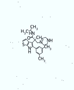 Cc1cc(C)cc(-c2[nH]c3sccc3c2C(C)(CN2CCNCC2)C(=O)NC(C)C)c1